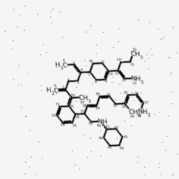 C=C(CC/C(=C\C)C1CC=C(/C(=C/N)CCC)CC1)/C(C)=C1\C=CC=CC1C(/C=C/C=C\C/C(C)=C/C=C\N)CNC1CCCCC1